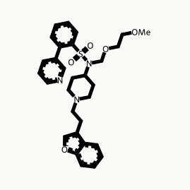 COCCOCN(C1CCN(CCc2coc3ccccc23)CC1)S(=O)(=O)c1ccccc1-c1cccnc1